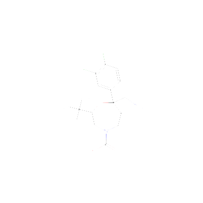 CC(C)(C)C1CN(C(=O)O)CCC(CN)(c2ccc(Cl)c(Cl)c2)O1